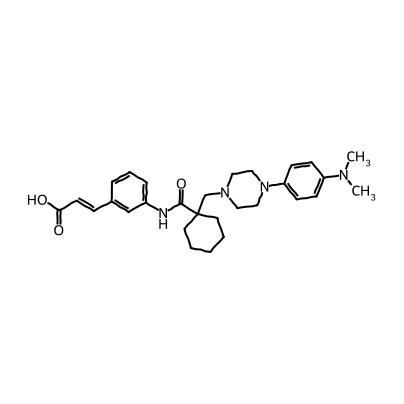 CN(C)c1ccc(N2CCN(CC3(C(=O)Nc4cccc(/C=C/C(=O)O)c4)CCCCC3)CC2)cc1